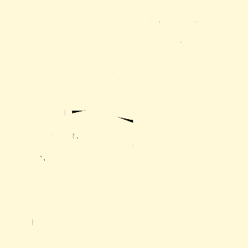 CC(F)(c1ccc2c(c1)CC[C@H]1N(C(=O)N3CCC(C(=O)O)CC3)CC[C@@]21S(=O)(=O)c1ccc(F)cc1)C(F)(F)F